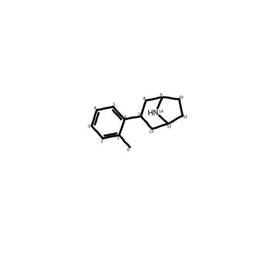 Cc1ccccc1C1CC2CCC(C1)N2